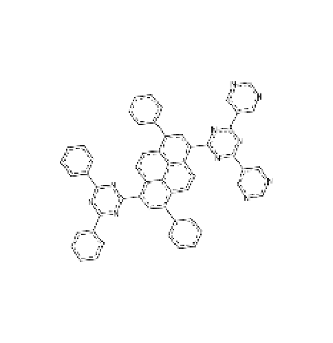 c1ccc(-c2nc(-c3ccccc3)nc(-c3cc(-c4ccccc4)c4ccc5c(-c6nc(-c7cncnc7)nc(-c7cncnc7)n6)cc(-c6ccccc6)c6ccc3c4c65)n2)cc1